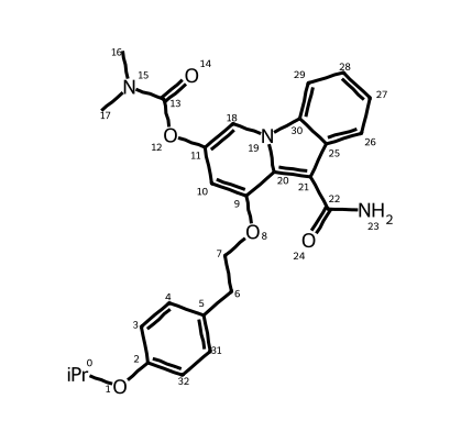 CC(C)Oc1ccc(CCOc2cc(OC(=O)N(C)C)cn3c2c(C(N)=O)c2ccccc23)cc1